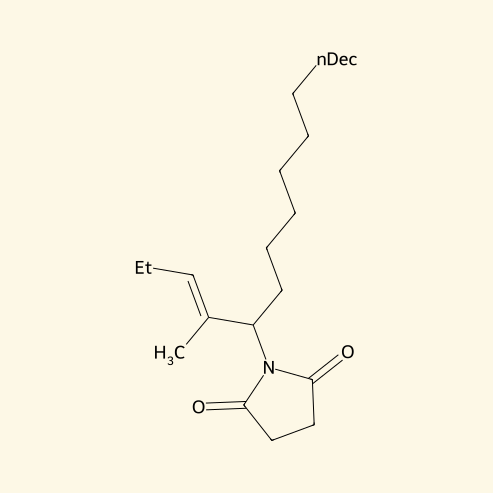 CC/C=C(\C)C(CCCCCCCCCCCCCCCC)N1C(=O)CCC1=O